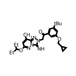 CCC(CC)Oc1cc(C)c2nn(CC(=O)c3cc(OCC4CC4)cc(C(C)(C)C)c3)c(=N)n2n1